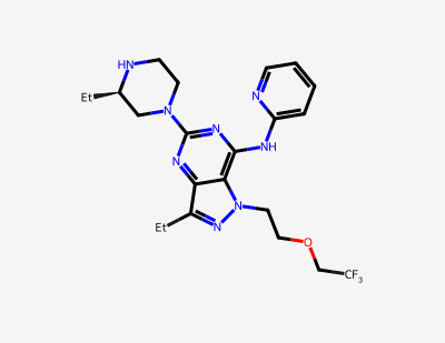 CCc1nn(CCOCC(F)(F)F)c2c(Nc3ccccn3)nc(N3CCN[C@H](CC)C3)nc12